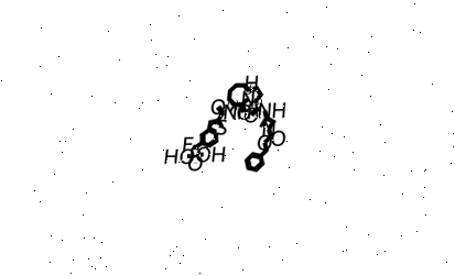 O=C(N[C@H]1CCCC[C@H]2CC[C@@H](C(=O)NC3CN(C(=O)OCc4ccccc4)C3)N2C1=O)c1cc2cc(C(F)P(=O)(O)O)ccc2s1